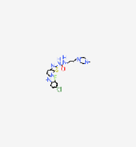 CN1CCN(CCCCNC(=O)Nc2nc3ccc(N(C)c4ccc(Cl)cc4F)nc3s2)CC1